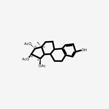 CC(=O)O[C@@H]1[C@H](OC(C)=O)C2C3CCc4cc(O)ccc4C3CC[C@]2(C)[C@H]1OC(C)=O